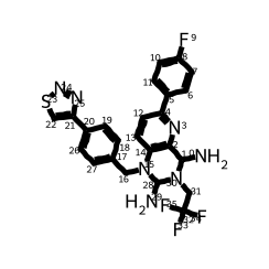 NC1c2nc(-c3ccc(F)cc3)ccc2N(Cc2ccc(-c3csnn3)cc2)C(N)N1CC(F)(F)F